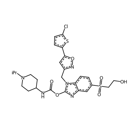 CC(C)N1CCC(NC(=O)Oc2nc3cc(S(=O)(=O)CCO)ccc3n2Cc2cc(-c3ccc(Cl)s3)on2)CC1